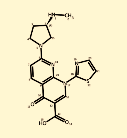 CN[C@@H]1CCN(c2ccc3c(=O)c(C(=O)O)cn(-c4nccs4)c3n2)C1